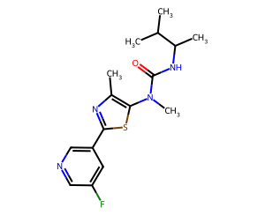 Cc1nc(-c2cncc(F)c2)sc1N(C)C(=O)NC(C)C(C)C